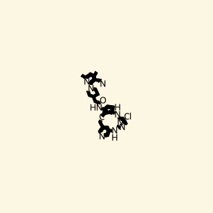 Cc1cc(C)c(C#N)c(N2CCC(CC(=O)Nc3ccc4cc3CCc3cncc(c3)Nc3ncc(Cl)c(n3)N4)CC2)n1